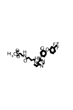 CS(=O)(=O)CCNC(=O)CCCn1ccc2ncnc(Nc3ccc(Oc4cccc(C(F)(F)F)c4)c(Cl)c3)c21